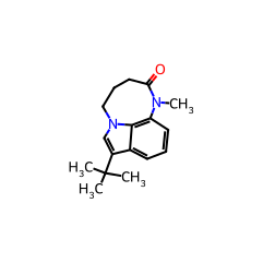 CN1C(=O)CCCn2cc(C(C)(C)C)c3cccc1c32